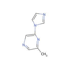 Cc1cncc(-n2ccnc2)n1